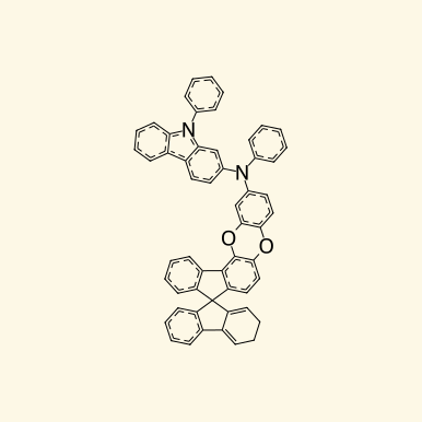 C1=C2C(=CCC1)C1(c3ccccc32)c2ccccc2-c2c1ccc1c2Oc2cc(N(c3ccccc3)c3ccc4c5ccccc5n(-c5ccccc5)c4c3)ccc2O1